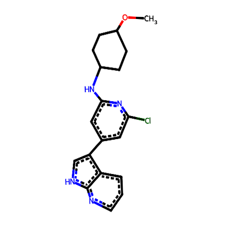 COC1CCC(Nc2cc(-c3c[nH]c4ncccc34)cc(Cl)n2)CC1